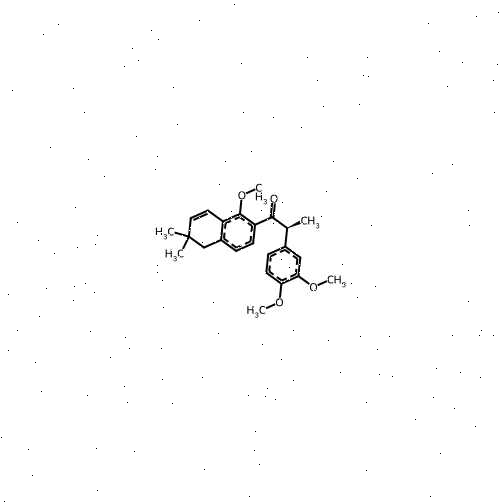 COc1ccc([C@H](C)C(=O)c2ccc3c(c2OC)C=CC(C)(C)C3)cc1OC